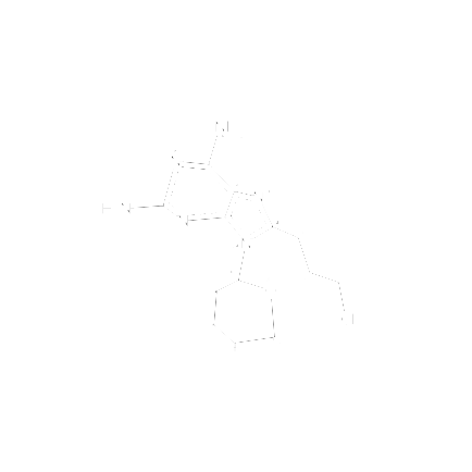 CCCCc1nc2c(N)nc(N)nc2n1C1CCCCO1